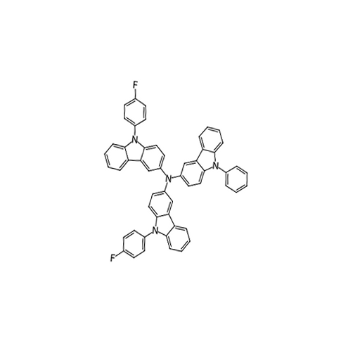 Fc1ccc(-n2c3ccccc3c3cc(N(c4ccc5c(c4)c4ccccc4n5-c4ccccc4)c4ccc5c(c4)c4ccccc4n5-c4ccc(F)cc4)ccc32)cc1